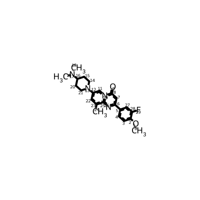 COc1ccc(-c2cc(=O)n3cc(N4CCC(N(C)C)CC4)cc(C)c3n2)cc1F